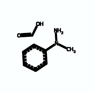 CN(N)c1ccccc1.O=CO